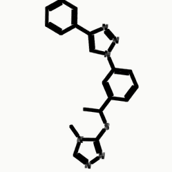 CC(Sc1nncn1C)c1cccc(-n2cc(-c3ccccc3)nn2)c1